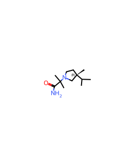 CC(C)[C@@]1(C)CCN(C(C)(C)C(N)=O)C1